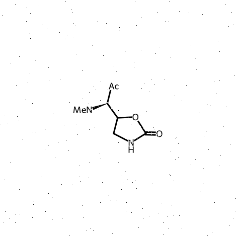 CN[C@@H](C(C)=O)C1CNC(=O)O1